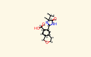 CC(C)C1(C)N=C(c2cc3c(cc2C(=O)O)COCC3)NC1=O